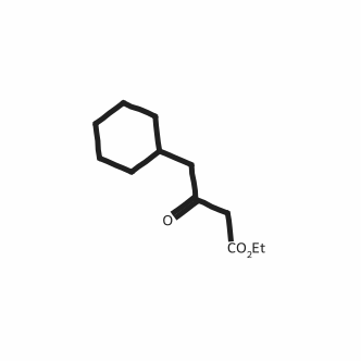 CCOC(=O)CC(=O)CC1CCCCC1